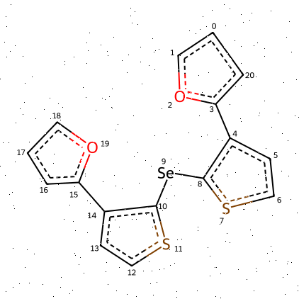 c1coc(-c2ccsc2[Se]c2sccc2-c2ccco2)c1